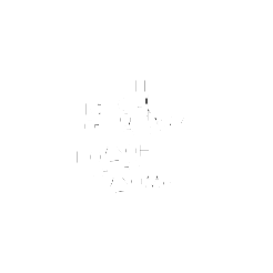 COc1cccc2c1C(=O)c1c(O)c3c(c(O)c1C2=O)C[C@@H](C(=O)CO)C[C@@H]3OC1C[C@H](NC(=O)OC2/C=C/CCCCC2)[C@H](O)[C@H](C)O1